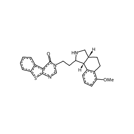 COc1cccc2c1CC[C@H]1CNC(CCn3cnc4sc5ccccc5c4c3=O)[C@@H]21